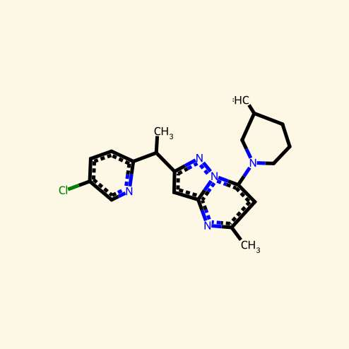 [CH]C1CCCN(c2cc(C)nc3cc(C(C)c4ccc(Cl)cn4)nn23)C1